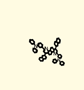 c1ccc(N(c2ccccc2)c2cccc(-c3cc(-c4ccc5ccccc5c4)c4ccc5c(ccc6c(-c7ccc8ccccc8c7)cc(-c7cccc(N(c8ccccc8)c8ccccc8)c7)nc65)c4n3)c2)cc1